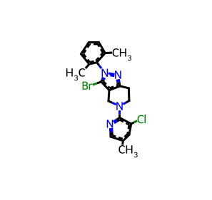 Cc1cnc(N2CCc3nn(-c4c(C)cccc4C)c(Br)c3C2)c(Cl)c1